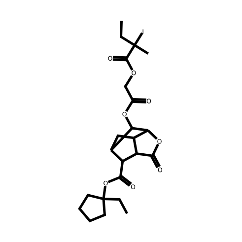 CCC1(OC(=O)C2C3CC4C(OC(=O)C42)C3OC(=O)COC(=O)C(C)(I)CC)CCCC1